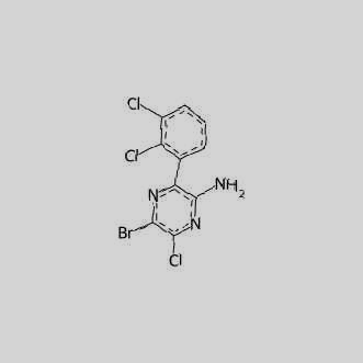 Nc1nc(Cl)c(Br)nc1-c1cccc(Cl)c1Cl